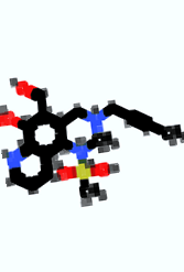 CC#CCNCc1c(C=O)c(O)c2ncccc2c1N(C)S(C)(=O)=O